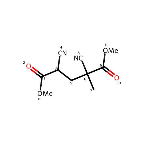 COC(=O)C(C#N)CC(C)(C#N)C(=O)OC